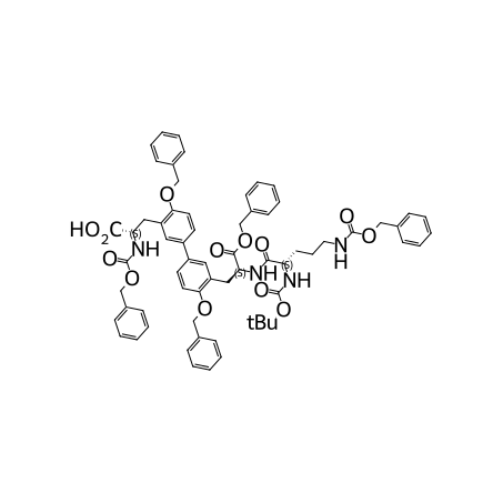 CC(C)(C)OC(=O)N[C@@H](CCCNC(=O)OCc1ccccc1)C(=O)N[C@@H](Cc1cc(-c2ccc(OCc3ccccc3)c(C[C@H](NC(=O)OCc3ccccc3)C(=O)O)c2)ccc1OCc1ccccc1)C(=O)OCc1ccccc1